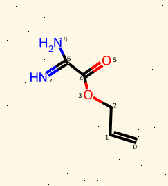 C=CCOC(=O)C(=N)N